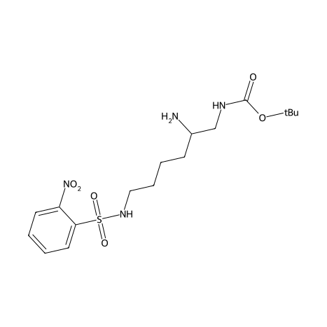 CC(C)(C)OC(=O)NCC(N)CCCCNS(=O)(=O)c1ccccc1[N+](=O)[O-]